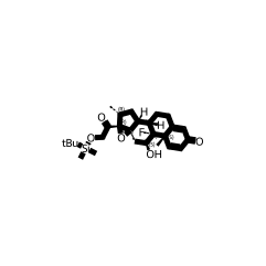 C[C@@H]1C[C@H]2[C@@H]3CCC4=CC(=O)C=C[C@]4(C)[C@@]3(F)[C@@H](O)C[C@@]23O[C@]13C(=O)CO[Si](C)(C)C(C)(C)C